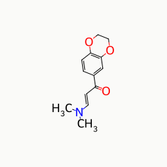 CN(C)/C=C/C(=O)c1ccc2c(c1)OCCO2